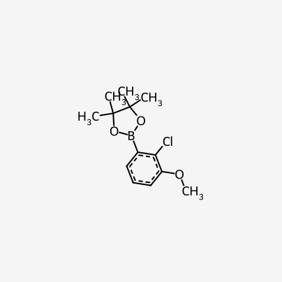 COc1cccc(B2OC(C)(C)C(C)(C)O2)c1Cl